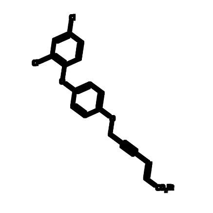 CCOC(=O)/C=C/C#CCOc1ccc(Oc2ccc(Cl)cc2Cl)cc1